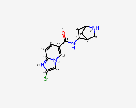 O=C(NC1CC2CC1CN2)c1ccc2nc(Br)cn2c1